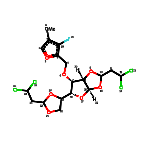 COc1coc(CO[C@@H]2[C@H]3OC(CC(Cl)Cl)O[C@H]3O[C@@H]2[C@H]2COC(CC(Cl)Cl)O2)c1F